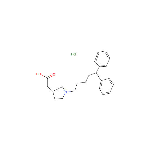 Cl.O=C(O)CC1CCN(CCCCC(c2ccccc2)c2ccccc2)C1